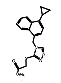 COC(=O)CSc1nncn1Cc1ccc(C2CC2)c2ccccc12